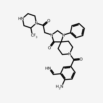 N=Cc1cc(C(=O)N2CCC3(CC2)C(=O)N(CC(=O)N2CCNCC2C(F)(F)F)CN3c2ccccc2)ccc1N